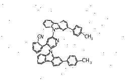 Cc1ccc(-c2ccc3c4ccccc4n(-c4cc(-c5ccccc5C#N)c(-n5c6ccccc6c6ccc(-c7ccc(C)cc7)cc65)cn4)c3c2)cc1